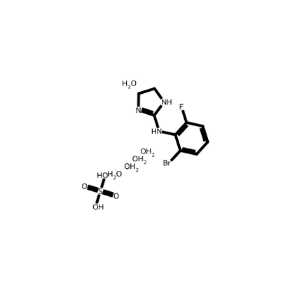 Fc1cccc(Br)c1NC1=NCCN1.O.O.O.O.O.O=S(=O)(O)O